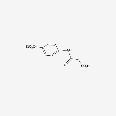 CCOC(=O)c1ccc(NC(=O)CC(=O)O)cc1